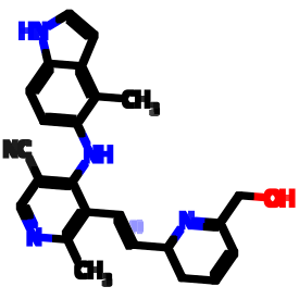 Cc1ncc(C#N)c(Nc2ccc3[nH]ccc3c2C)c1/C=C/C1CC=CC(CO)=N1